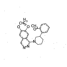 COc1cc2cnnc(N3CCCC(c4ccccc4OC)C3)c2cc1OC